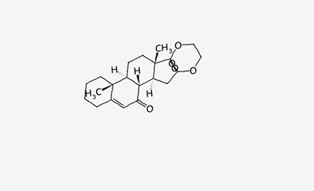 C[C@]12CCCCC1=CC(=O)[C@@H]1[C@@H]2CC[C@@]2(C)[C@H]1CC13OCCOC12OCCO3